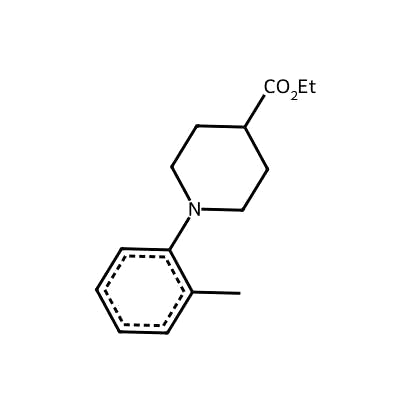 CCOC(=O)C1CCN(c2ccccc2C)CC1